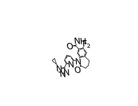 NC(=O)c1cc2c(cc1F)CCCC(=O)N2c1cccc(-c2nncn2C2CC2)n1